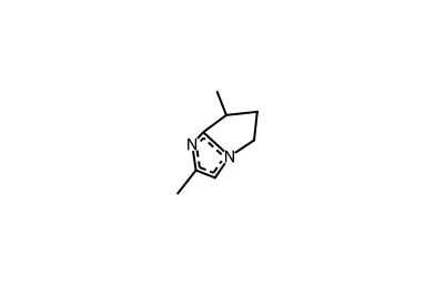 Cc1cn2c(n1)C(C)CC2